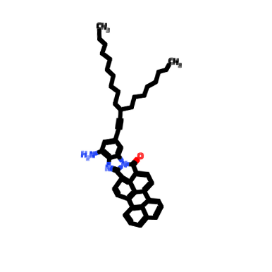 CCCCCCCCCCC(C#Cc1cc(N)c2nc3c4ccc5c6cccc7cccc(c8ccc(c(=O)n3c2c1)c4c85)c76)CCCCCCCC